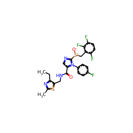 CCc1nc(C)sc1CNC(=O)c1cnc([S+]([O-])Cc2c(F)ccc(F)c2F)n1-c1ccc(F)cc1